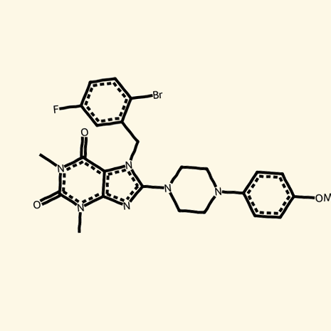 COc1ccc(N2CCN(c3nc4c(c(=O)n(C)c(=O)n4C)n3Cc3cc(F)ccc3Br)CC2)cc1